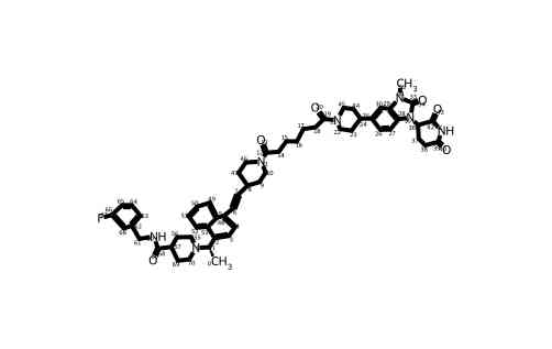 C[C@H](c1ccc(C#CC2CCN(C(=O)CCCCCC(=O)N3CCC(c4ccc5c(c4)n(C)c(=O)n5C4CCC(=O)NC4=O)CC3)CC2)c2ccccc12)N1CCC(C(=O)NCc2cccc(F)c2)CC1